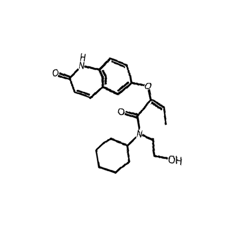 CC=C(Oc1ccc2[nH]c(=O)ccc2c1)C(=O)N(CCO)C1CCCCC1